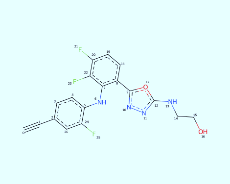 C#Cc1ccc(Nc2c(-c3nnc(NCCO)o3)ccc(F)c2F)c(F)c1